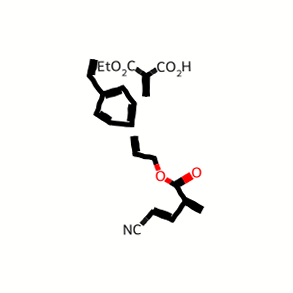 C=C(C(=O)O)C(=O)OCC.C=CCOC(=O)C(=C)C=CC#N.C=Cc1ccccc1